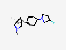 CCN1C[C@H]2C[C@@]2(C2=CCC(N3CCC(F)C3)C=C2)C1